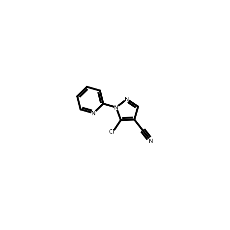 N#Cc1cnn(-c2ccccn2)c1Cl